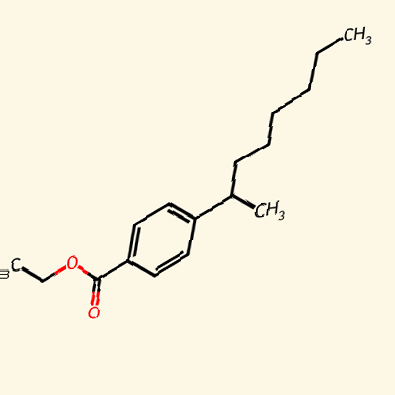 CCCCCCC(C)c1ccc(C(=O)OCC)cc1